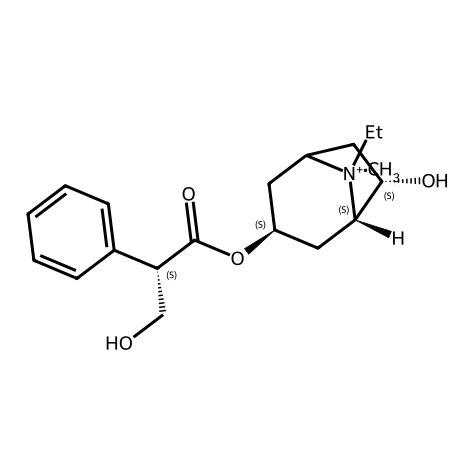 CC[N+]1(C)C2C[C@H](OC(=O)[C@H](CO)c3ccccc3)C[C@H]1[C@@H](O)C2